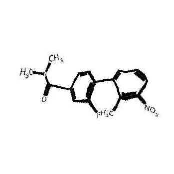 Cc1c(-c2ccc(C(=O)N(C)C)cc2F)cccc1[N+](=O)[O-]